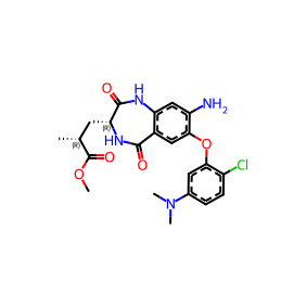 COC(=O)[C@H](C)C[C@H]1NC(=O)c2cc(Oc3cc(N(C)C)ccc3Cl)c(N)cc2NC1=O